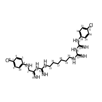 N=C(CNc1ccc(Cl)cc1)NC(=N)NCCCCCCNC(=N)NC(=N)Nc1ccc(Cl)cc1